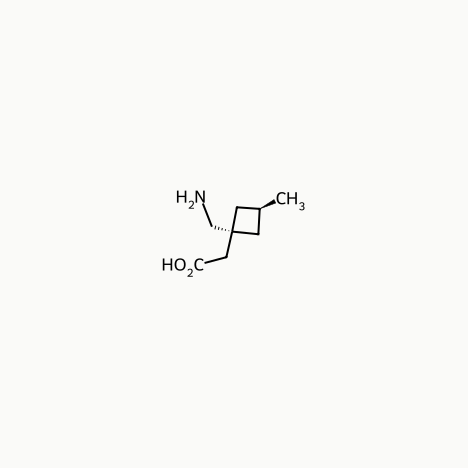 C[C@H]1C[C@@](CN)(CC(=O)O)C1